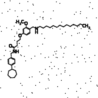 CCCCCCCCCCCCCCNCc1ccc(OCCCC(=O)NCc2ccc(C3CCCCCC3)cc2)cc1OC